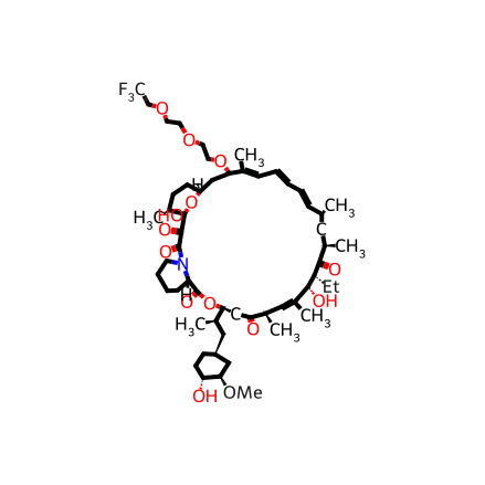 CC[C@H]1C(=O)[C@H](C)C[C@H](C)/C=C/C=C/C=C(\C)C(OCCOCCOCC(F)(F)F)C[C@@H]2CC[C@@H](C)[C@@](O)(O2)C(=O)C(=O)N2CCCC[C@H]2C(=O)O[C@H]([C@H](C)C[C@@H]2CC[C@@H](O)[C@H](OC)C2)CC(=O)[C@H](C)/C=C(\C)[C@H]1O